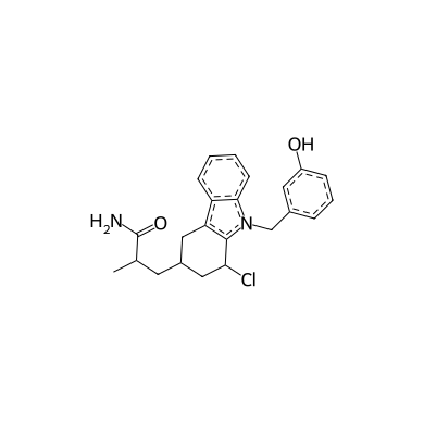 CC(CC1Cc2c(n(Cc3cccc(O)c3)c3ccccc23)C(Cl)C1)C(N)=O